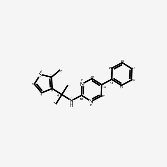 Cc1sccc1C(C)(C)Nc1ncc(-c2ccccc2)cn1